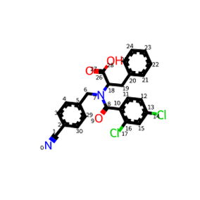 N#Cc1ccc(CN(C(=O)c2ccc(Cl)cc2Cl)C(Cc2ccccc2)C(=O)O)cc1